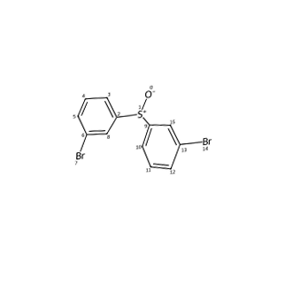 [O-][S+](c1cccc(Br)c1)c1cccc(Br)c1